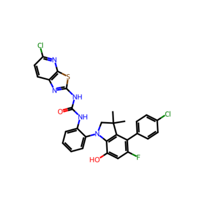 CC1(C)CN(c2ccccc2NC(=O)Nc2nc3ccc(Cl)nc3s2)c2c(O)cc(F)c(-c3ccc(Cl)cc3)c21